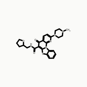 CN1CCN(c2ccc3c(=O)c(C(=O)NCC4CCCO4)c4sc5ccccc5n4c3n2)CC1